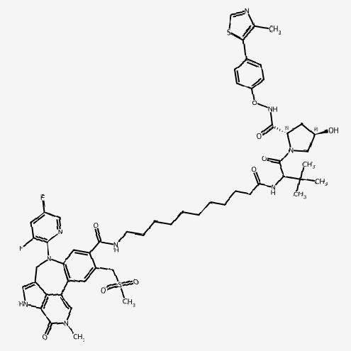 Cc1ncsc1-c1ccc(ONC(=O)[C@@H]2C[C@@H](O)CN2C(=O)C(NC(=O)CCCCCCCCCCNC(=O)c2cc3c(cc2CS(C)(=O)=O)-c2cn(C)c(=O)c4[nH]cc(c24)CN3c2ncc(F)cc2F)C(C)(C)C)cc1